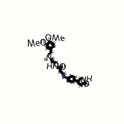 COc1ccc(CCN(C)CCCNC(=O)C/C=C/c2ccc(-c3ccc(=O)[nH]c3)cc2)cc1OC